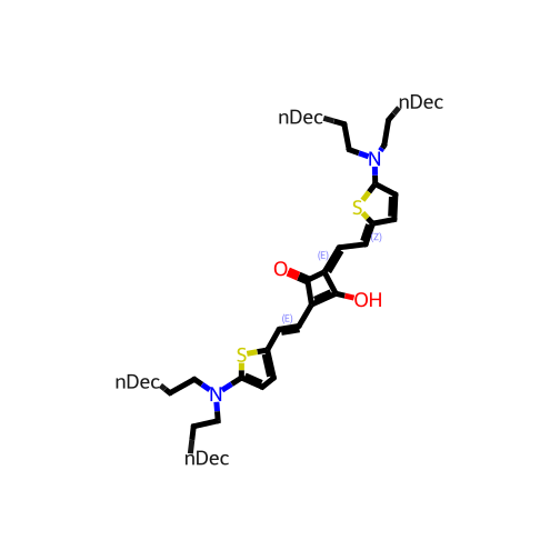 CCCCCCCCCCCCN(CCCCCCCCCCCC)c1ccc(/C=C/C2=C(O)C(=C\C=C3\C=CC(N(CCCCCCCCCCCC)CCCCCCCCCCCC)S3)/C2=O)s1